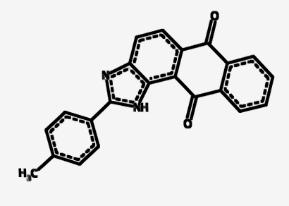 Cc1ccc(-c2nc3ccc4c(c3[nH]2)C(=O)c2ccccc2C4=O)cc1